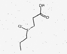 CCC[S+]([O-])CCC(=O)O